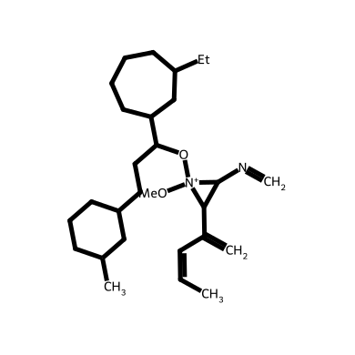 C=NC1C(C(=C)/C=C\C)[N+]1(OC)OC(CCC1CCCC(C)C1)C1CCCCC(CC)C1